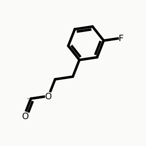 O=[C]OCCc1cccc(F)c1